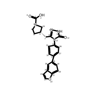 O=C(O)N1CC[C@@H](Cc2n[nH]c(=O)n2-c2ccc(-c3ccc4occc4c3)cc2)C1